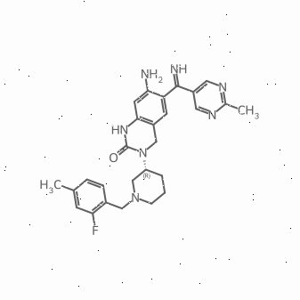 Cc1ccc(CN2CCC[C@@H](N3Cc4cc(C(=N)c5cnc(C)nc5)c(N)cc4NC3=O)C2)c(F)c1